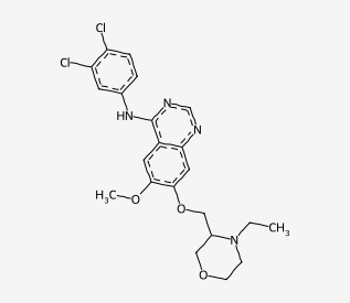 CCN1CCOCC1COc1cc2ncnc(Nc3ccc(Cl)c(Cl)c3)c2cc1OC